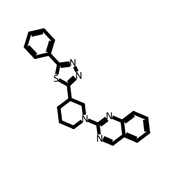 c1ccc(-c2nnc(C3CCCN(c4ncc5ccccc5n4)C3)s2)cc1